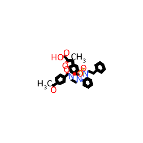 CC(=O)c1ccc(C(=O)N2CCN(c3ccccc3N(CCc3ccccc3)S(=O)(=O)c3ccc4oc(C(=O)O)c(C)c4c3)CC2)cc1